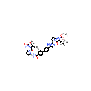 COC(=O)N[C@H](C(=O)N1CCC[C@H]1c1ncc(-c2ccc(-c3ccc(C(=O)NC[C@@H]4CCCN4C(=O)[C@@H](NC(=O)O)C(C)C)cc3)cc2)[nH]1)C(C)C